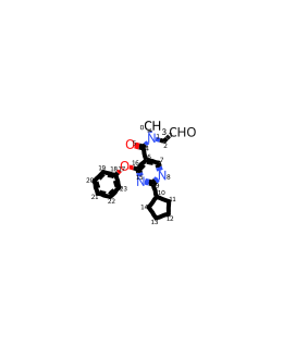 CN(CC=O)C(=O)c1cnc(C2CCCC2)nc1Oc1ccccc1